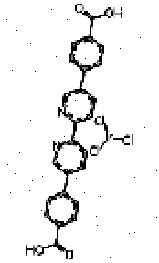 O=C(O)c1ccc(-c2ccc(-c3ccc(-c4ccc(C(=O)O)cc4)cn3)nc2)cc1.[Cl][Ir]([Cl])[Cl]